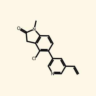 C=Cc1cncc(-c2ccc3c(c2Cl)CC(=O)N3C)c1